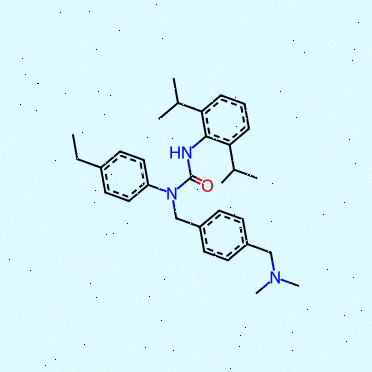 CCc1ccc(N(Cc2ccc(CN(C)C)cc2)C(=O)Nc2c(C(C)C)cccc2C(C)C)cc1